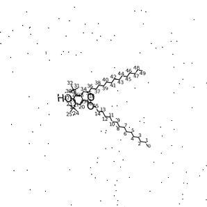 CCCCCCCCCCCCCCCCOC(=O)c1cc(C(C)(C)C)c(O)c(C(C)(C)C)c1CCCCCCCCCCCCCCCC